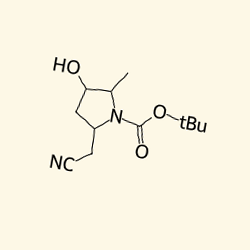 CC1C(O)CC(CC#N)N1C(=O)OC(C)(C)C